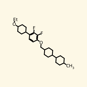 CCOC1CCC(c2ccc(OCC3CCC(C4CCC(C)CC4)CC3)c(F)c2F)CC1